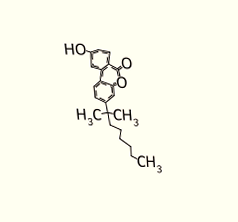 CCCCCCC(C)(C)c1ccc2c(c1)oc(=O)c1ccc(O)cc12